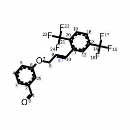 O=Cc1cccc(OC/C=C/c2cc(C(F)(F)F)ccc2C(F)(F)F)c1